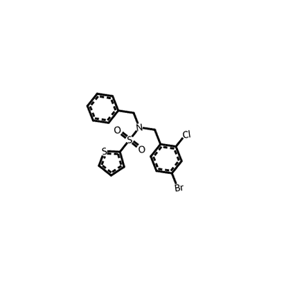 O=S(=O)(c1cccs1)N(Cc1ccccc1)Cc1ccc(Br)cc1Cl